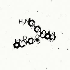 Cc1cc(C[C@@H](OC(=O)N2CCC(N3CCc4ccccc4NC3=O)CC2)C(=O)N2CCC(N3CCC(C)(N)CC3)CC2)cc2c1N(C)CCO2